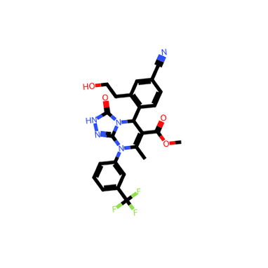 COC(=O)C1=C(C)N(c2cccc(C(F)(F)F)c2)c2n[nH]c(=O)n2C1c1ccc(C#N)cc1CCO